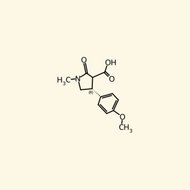 COc1ccc([C@@H]2CN(C)C(=O)C2C(=O)O)cc1